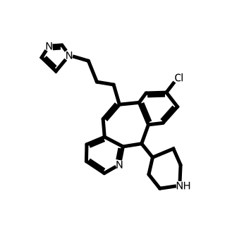 Clc1ccc2c(c1)C(CCCn1ccnc1)=Cc1cccnc1C2C1CCNCC1